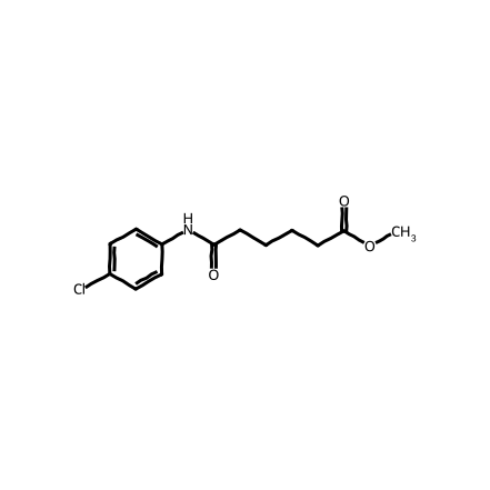 COC(=O)CCCCC(=O)Nc1ccc(Cl)cc1